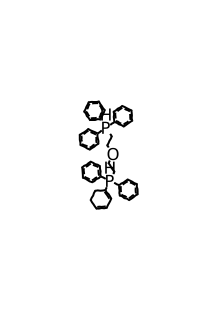 C1=CCCC([PH](CCOCC[PH](c2ccccc2)(c2ccccc2)c2ccccc2)(c2ccccc2)c2ccccc2)=C1